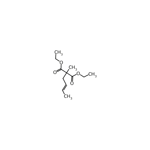 CC=CCC(C)(C(=O)OCC)C(=O)OCC